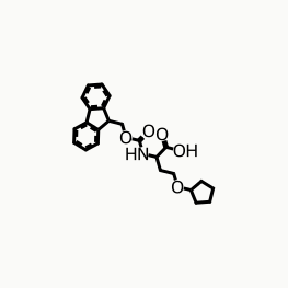 O=C(NC(CCOC1CCCC1)C(=O)O)OCC1c2ccccc2-c2ccccc21